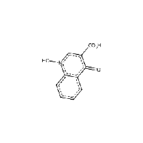 O=C(O)c1cn(O)c2ccccc2c1=O